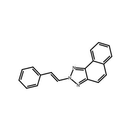 C(=Cn1nc2ccc3ccccc3c2n1)c1ccccc1